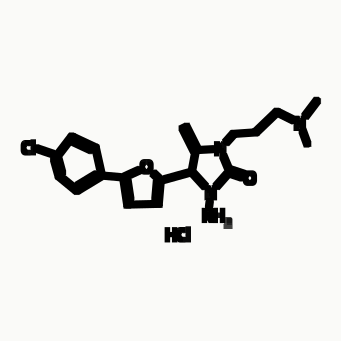 C=C1C(c2ccc(-c3ccc(Cl)cc3)o2)N(N)C(=O)N1CCCN(C)C.Cl